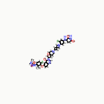 CCN(C)S(=O)(=O)Nc1ccc(F)c(Oc2ccc3ncn([C@H]4COC5(CCN(C6CC7(C6)CN(c6ccc(NC8CCC(=O)NC8=O)cc6F)C7)CC5)C4)c(=O)c3c2)c1C#N